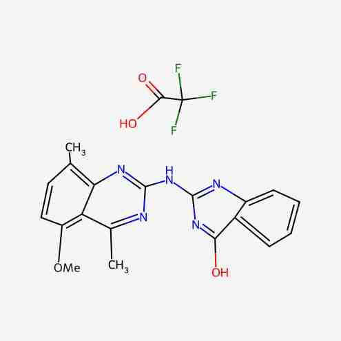 COc1ccc(C)c2nc(Nc3nc(O)c4ccccc4n3)nc(C)c12.O=C(O)C(F)(F)F